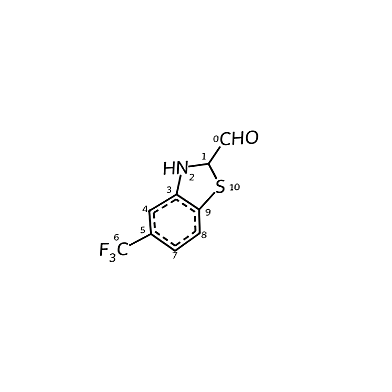 O=CC1Nc2cc(C(F)(F)F)ccc2S1